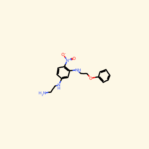 NCCNc1ccc([N+](=O)[O-])c(NCCOc2ccccc2)c1